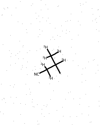 [2H]C([2H])([2H])C([2H])(C)C([2H])([2H])C#N